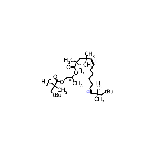 C[C@@H](COC(=O)C(C)(C)CC(C)(C)C)OC(=O)C(C)(C)CC(C)(C)/C=C\CCCC/C=C\C(C)(C)CC(C)(C)C